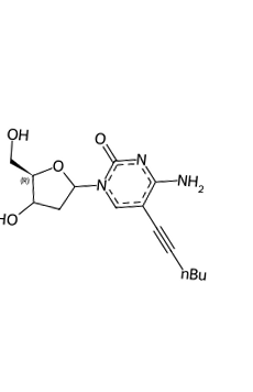 CCCCC#Cc1cn(C2CC(O)[C@@H](CO)O2)c(=O)nc1N